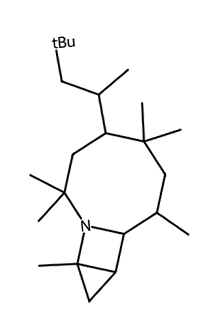 CC1CC(C)(C)C(C(C)CC(C)(C)C)CC(C)(C)N2C1C1CC12C